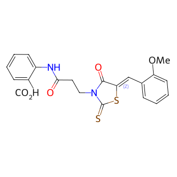 COc1ccccc1/C=C1\SC(=S)N(CCC(=O)Nc2ccccc2C(=O)O)C1=O